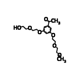 COCCOCCOc1cc(OCCOCCO)cc(C(C)=O)c1